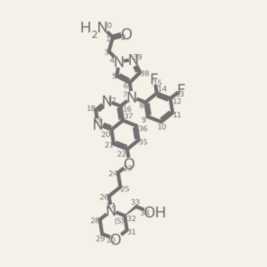 NC(=O)Cn1cc(N(c2cccc(F)c2F)c2ncnc3cc(OCCCN4CCOC[C@@H]4CO)ccc23)cn1